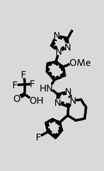 COc1cc(Nc2nc3n(n2)CCCCC3c2ccc(F)cc2)ccc1-n1cnc(C)n1.O=C(O)C(F)(F)F